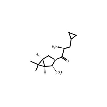 CC1(C)[C@@H]2[C@@H](C(=O)O)N(C(=O)[C@@H](N)CC3CC3)C[C@@H]21